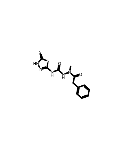 CN(NC(=O)Nc1n[nH]c(=S)s1)C(=O)Cc1ccccc1